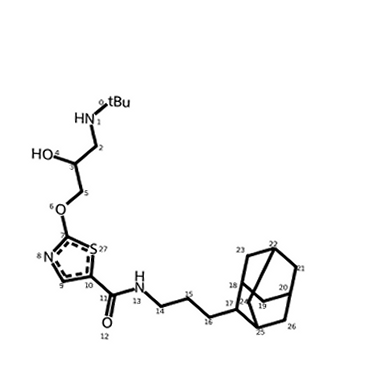 CC(C)(C)NCC(O)COc1ncc(C(=O)NCCCC2C3CC4CC(C3)CC2C4)s1